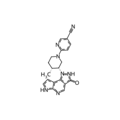 C[C@@H]1CCN(c2ccc(C#N)cn2)C[C@@H]1n1[nH]c(=O)c2cnc3[nH]ccc3c21